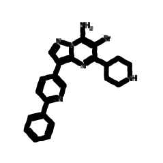 Nc1c(Br)c(C2CCNCC2)nc2c(-c3ccc(-c4ccccc4)nc3)cnn12